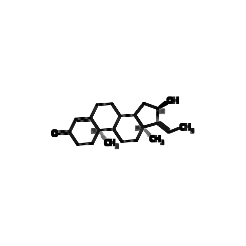 CC=C1[C@H](O)CC2C3CCC4=CC(=O)CC[C@]4(C)C3CC[C@]12C